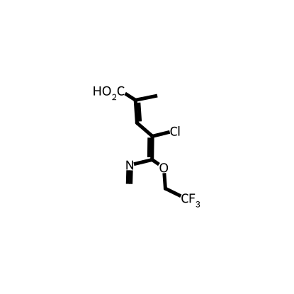 C=N/C(OCC(F)(F)F)=C(Cl)\C=C(/C)C(=O)O